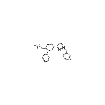 CCc1ccc(-c2ccn(Cc3cccnc3)n2)cc1-c1ccccc1